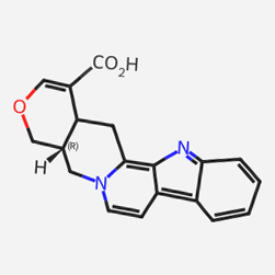 O=C(O)C1=COC[C@H]2Cn3ccc4c5ccccc5nc-4c3CC12